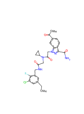 COCc1cc(Cl)c(F)c(CNC(=O)CN(C(=O)Cn2nc(C(N)=O)c3ccc(C(=O)OC)cc32)C2CC2)c1